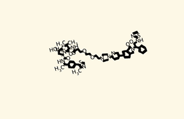 Cc1ncsc1-c1ccc([C@H](C)NC(=O)[C@@H]2C[C@@H](O)CN2C(=O)[C@@H](NC(=O)CCOCCOCCN2CCN(c3ccc(-c4ccc5c(c4)C(=O)N(C(C(=O)Nc4nccs4)c4ccccc4)C5)cn3)CC2)C(C)(C)C)cc1